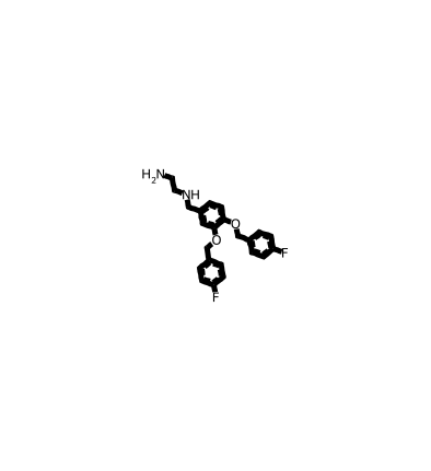 NCCNCc1ccc(OCc2ccc(F)cc2)c(OCc2ccc(F)cc2)c1